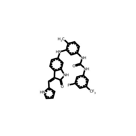 Cc1ccc(NC(=O)Nc2cc(F)cc(C(F)(F)F)c2)cc1Nc1ccc2c(c1)NC(=O)/C2=C\c1ccc[nH]1